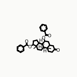 C[C@]12CCC(=O)CC1CC(OC(=O)c1ccccc1)[C@@H]1[C@H]2CC[C@]2(C)C(OC(=O)c3ccccc3)CC[C@@H]12